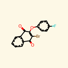 O=C1C(Br)=C(Oc2ccc(F)cc2)C(=O)c2ccccc21